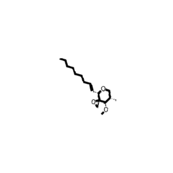 CCCCCCC/C=C/[C@@H]1OC[C@H](C)[C@H](OC)[C@@]12CO2